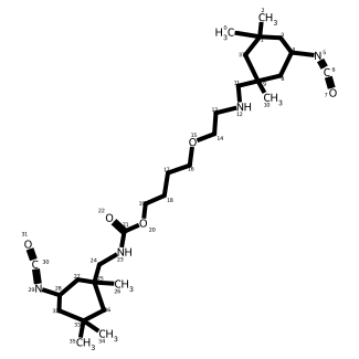 CC1(C)CC(N=C=O)CC(C)(CNCCOCCCCOC(=O)NCC2(C)CC(N=C=O)CC(C)(C)C2)C1